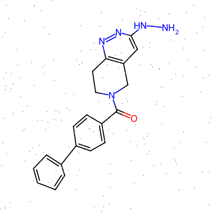 NNc1cc2c(nn1)CCN(C(=O)c1ccc(-c3ccccc3)cc1)C2